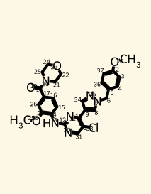 COc1ccc(Cn2cc(-c3nc(Nc4ccc(C(=O)N5CCOCC5)cc4OC)ncc3Cl)cn2)cc1